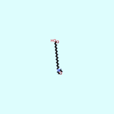 O=C(O)CCCCCCCCCCCCCCCCCN1CCOCC1